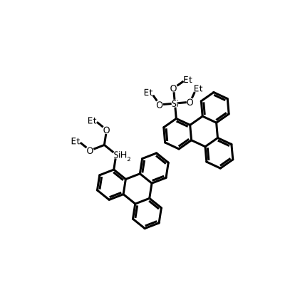 CCOC(OCC)[SiH2]c1cccc2c3ccccc3c3ccccc3c12.CCO[Si](OCC)(OCC)c1cccc2c3ccccc3c3ccccc3c12